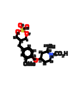 COc1cc(CC2COS(=O)(=O)OC2)ccc1OC1CCN(C(=O)O)C(C(C)(C)C)C1